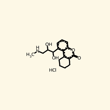 CNCC(O)C(O)c1cccc2oc(=O)c3c(c12)CCCC3.Cl